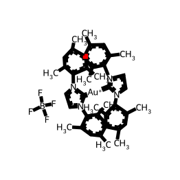 Cc1cc(C)c(-n2ccn(-c3c(C)cc(C)cc3C)[c]2=[Au+]=[c]2n(-c3c(C)cc(C)cc3C)ccn2-c2c(C)cc(C)cc2C)c(C)c1.F[B-](F)(F)F